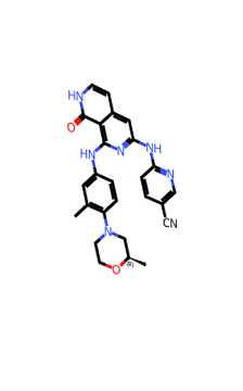 Cc1cc(Nc2nc(Nc3ccc(C#N)cn3)cc3cc[nH]c(=O)c23)ccc1N1CCO[C@H](C)C1